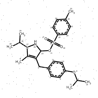 CC1=C(Cc2ccc(OC(C)C)cc2)C(OS(=O)(=O)c2ccc(C)cc2)NN1C(C)C